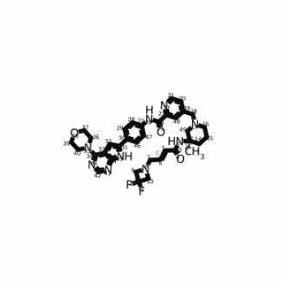 C[C@@]1(NC(=O)/C=C/CN2CC(F)(F)C2)CCCN(Cc2ccnc(C(=O)Nc3ccc(-c4cc5c(N6CCOCC6)ncnc5[nH]4)cc3)c2)C1